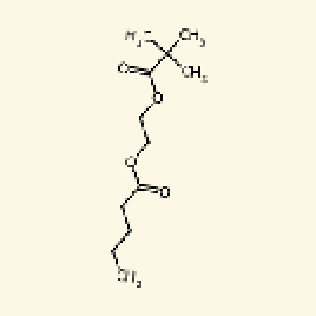 CCCCC(=O)OCCOC(=O)C(C)(C)C